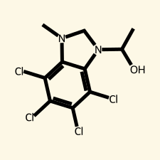 CC(O)N1CN(C)c2c(Cl)c(Cl)c(Cl)c(Cl)c21